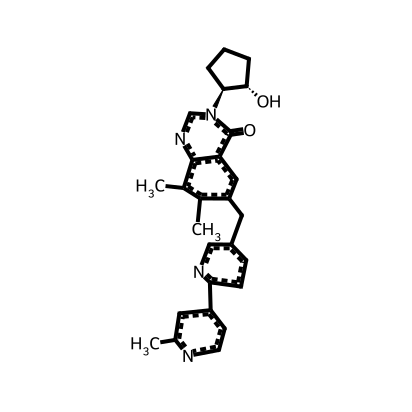 Cc1cc(-c2ccc(Cc3cc4c(=O)n([C@H]5CCC[C@@H]5O)cnc4c(C)c3C)cn2)ccn1